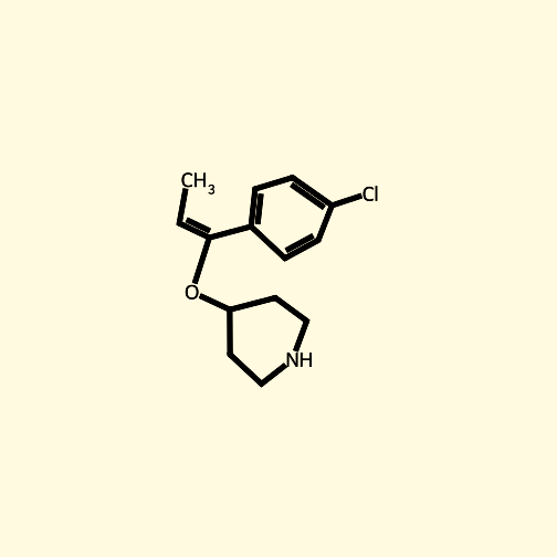 CC=C(OC1CCNCC1)c1ccc(Cl)cc1